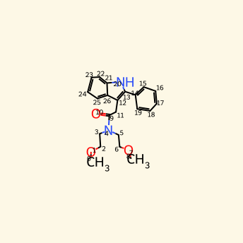 COCCN(CCOC)C(=O)Cc1c(-c2ccccc2)[nH]c2ccccc12